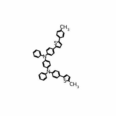 Cc1ccc(-c2ccc(-c3ccc(N(c4ccccc4)c4ccc(N(c5ccccc5)c5ccc(-c6ccc(C)s6)cc5)cc4)cc3)s2)cc1